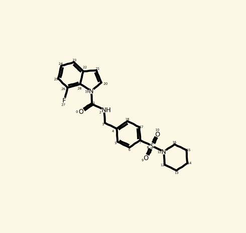 O=C(NCc1ccc(S(=O)(=O)N2CCCCC2)cc1)n1ccc2cccc(F)c21